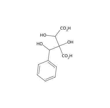 O=C(O)C(O)C(O)(C(=O)O)C(O)c1ccccc1